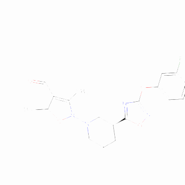 CC1=C(C=O)C(C)ON1N1CCC[C@H](c2nc(Oc3cccc(F)c3)no2)C1